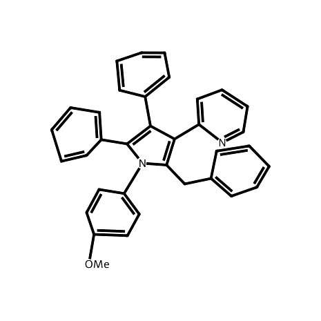 COc1ccc(-n2c(Cc3ccccc3)c(-c3ccccn3)c(-c3ccccc3)c2-c2ccccc2)cc1